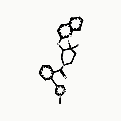 Cn1cc(-c2ccccc2C(=O)N2CCC(F)(F)C(Oc3ccc4ccccc4n3)C2)cn1